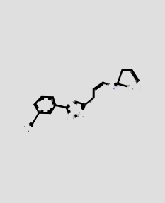 C[C@@H](/C=C\N=C1/CC=CN1)c1noc(-c2cccc(C#N)c2)n1